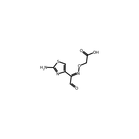 Nc1nc(/C([C]=O)=N\OCC(=O)O)cs1